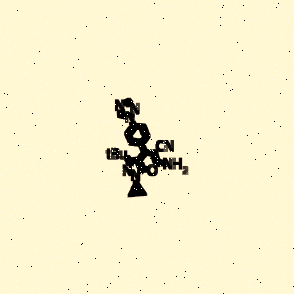 CC(C)(C)c1nn(C2CC2)c2c1C(c1ccc(-n3cncn3)cc1)C(C#N)=C(N)O2